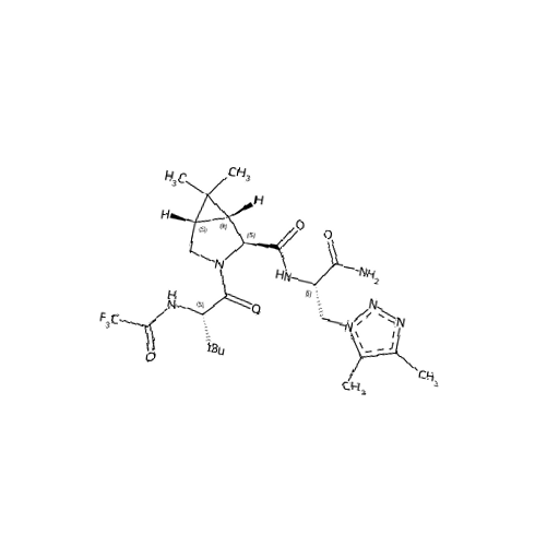 Cc1nnn(C[C@H](NC(=O)[C@@H]2[C@@H]3[C@H](CN2C(=O)[C@@H](NC(=O)C(F)(F)F)C(C)(C)C)C3(C)C)C(N)=O)c1C